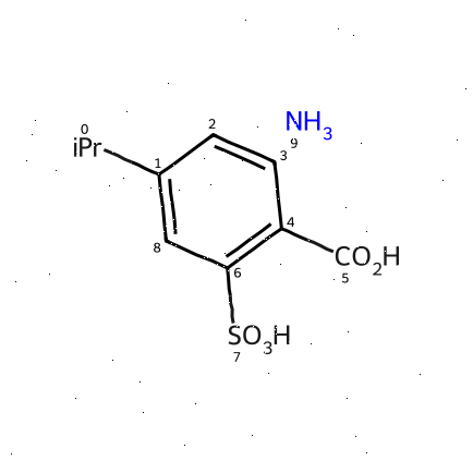 CC(C)c1ccc(C(=O)O)c(S(=O)(=O)O)c1.N